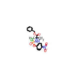 CC(C)(NP(=O)(Cl)Oc1ccc([N+](=O)[O-])cc1)C(=O)OCc1ccccc1